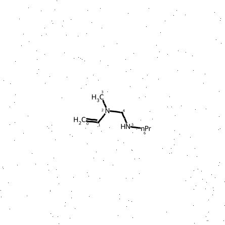 C=CN(C)CNCCC